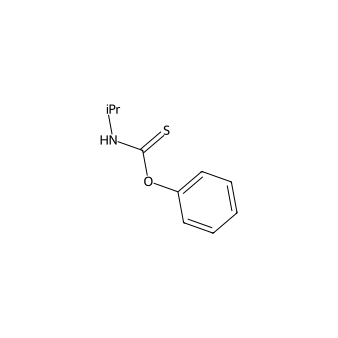 CC(C)NC(=S)Oc1ccccc1